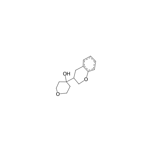 OC1(C2COc3ccccc3C2)CCOCC1